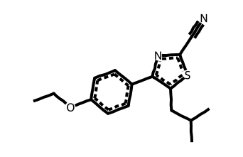 CCOc1ccc(-c2nc(C#N)sc2CC(C)C)cc1